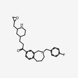 O=C(CCC1CCNC(CC2CO2)C1)c1ccc2c(c1)CN(Cc1ccc(F)cc1)CCC2